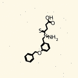 NN(Cc1cccc(OCc2ccccc2)c1)C(=S)CCC(=O)O